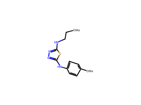 COCCNc1nnc(Nc2ccc(OC)cc2)s1